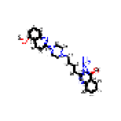 COc1cccc2nc(N3CCN(CCCCc4nc5ccccc5c(=O)n4N)CC3)ccc12